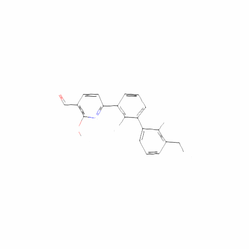 CCc1cccc(-c2cccc(-c3ccc(C=O)c(OC)n3)c2C)c1C